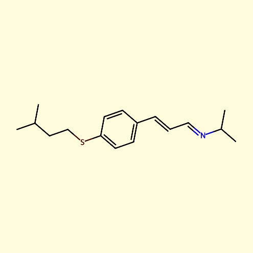 CC(C)CCSc1ccc(C=CC=NC(C)C)cc1